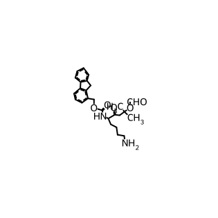 CC(C)(CC(=O)C(CCCCN)NC(=O)OCc1cccc2c1Cc1ccccc1-2)O[C]=O